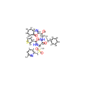 Cc1cccc(CS(=O)(=O)C[C@H](NC(=O)c2ccsc2)C(=O)N[C@@H](CCc2ccccc2)C(=O)c2nc3ccccc3o2)n1